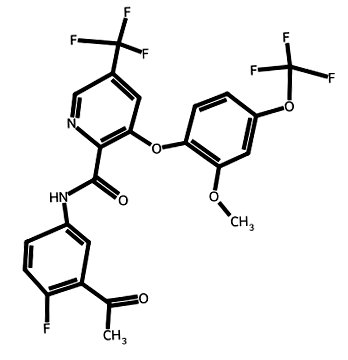 COc1cc(OC(F)(F)F)ccc1Oc1cc(C(F)(F)F)cnc1C(=O)Nc1ccc(F)c(C(C)=O)c1